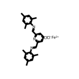 Cc1cc(C)c(N=Cc2cccc(C=Nc3c(C)cc(C)cc3C)n2)c(C)c1.[Cl-].[Cl-].[Fe+2]